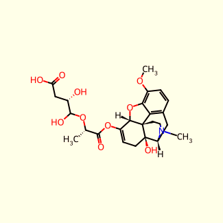 COc1ccc2c3c1O[C@H]1C(OC(=O)[C@H](C)OC(O)[C@@H](O)CC(=O)O)=CC[C@@]4(O)[C@@H](C2)N(C)CC[C@]314